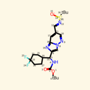 CC(C)(C)OC(=O)N[C@H](c1cn2ncc(C=N[S@@+]([O-])C(C)(C)C)cc2n1)C1CCC(F)(F)CC1